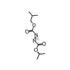 CC(C)COC(=O)/N=N/C(=O)OC(C)C